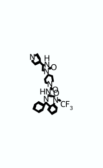 O=C(N[C@@H]1N=C(c2ccccc2)c2ccccc2N(CC(F)(F)F)C1=O)N1CCC(N2CC(c3ccncc3)NC2=O)CC1